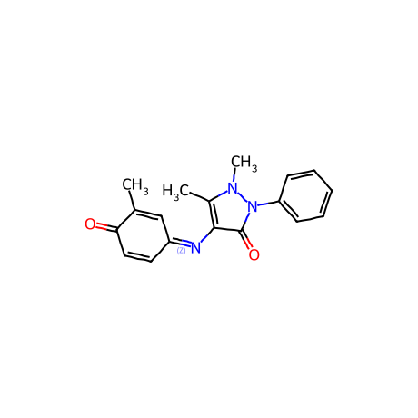 CC1=C/C(=N\c2c(C)n(C)n(-c3ccccc3)c2=O)C=CC1=O